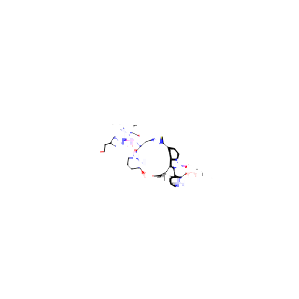 CCn1c(-c2cccnc2[C@H](C)OC)c2c3cc(ccc31)-c1csc(n1)C[C@H](NC(=O)[C@H](C(C)C)N(C)C(=O)N1CC([C@H](C)CO)C1)C(=O)N1CCCC(C=O)(COCC(C)(C)C2)N1